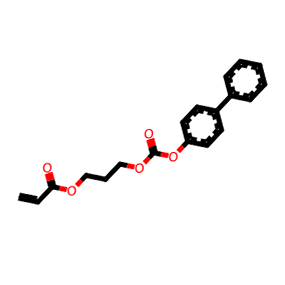 C=CC(=O)OCCCOC(=O)Oc1ccc(-c2ccccc2)cc1